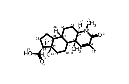 CN1C(=O)C(F)=C[C@]2(C)C3CC[C@]4(C)[C@@H](C(=O)O)CC[C@H]4[C@@H]3CC[C@@H]12